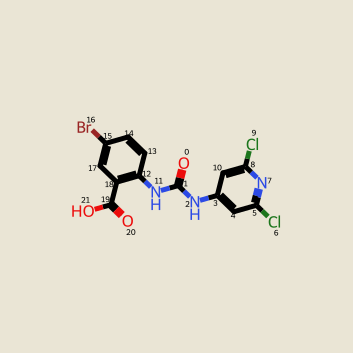 O=C(Nc1cc(Cl)nc(Cl)c1)Nc1ccc(Br)cc1C(=O)O